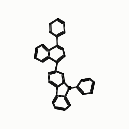 c1ccc(-c2ccc(-c3ccc4c5ccccc5n(-c5ccccc5)c4c3)c3ccccc23)cc1